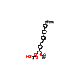 C=C(CO)C(=O)OCC[C@@H](COC(=O)C(C)C)C1CCC(CCc2ccc(C3CCC(c4ccc(CCCCC)cc4)CC3)cc2)CC1